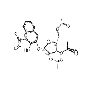 CC(=O)OC[C@H]1O[C@@H](Oc2cc3ccccc3c([N+](=O)[O-])c2O)[C@@H](OC(C)=O)C1OC(C)=O